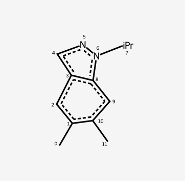 Cc1cc2cnn(C(C)C)c2cc1C